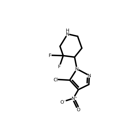 O=[N+]([O-])c1cnn(C2CCNCC2(F)F)c1Cl